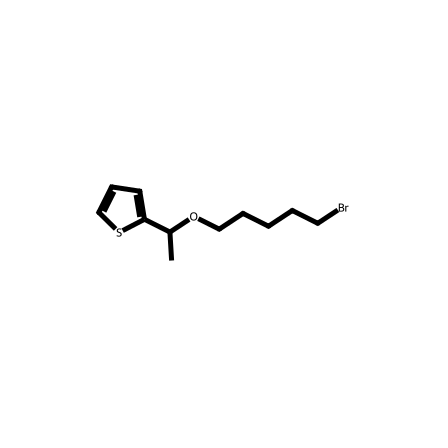 CC(OCCCCCBr)c1cccs1